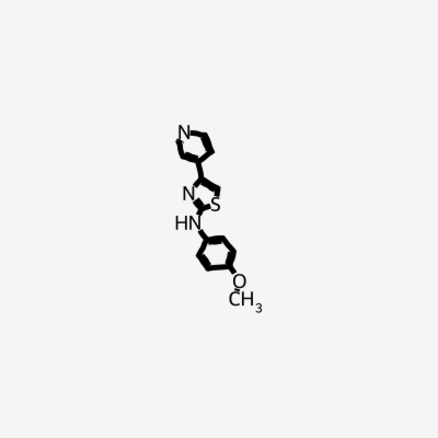 COc1ccc(Nc2nc(-c3ccncc3)cs2)cc1